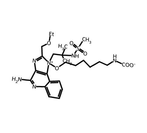 CCOCC1=Nc2c(N)nc3ccccc3c2[N+]1(CC(C)(C)NS(C)(=O)=O)OCCCCCCNC(=O)[O-]